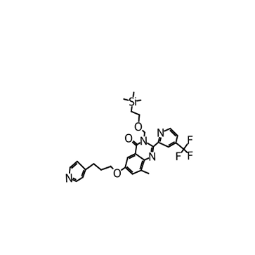 Cc1cc(OCCCc2ccncc2)cc2c(=O)n(COCC[Si](C)(C)C)c(-c3cc(C(F)(F)F)ccn3)nc12